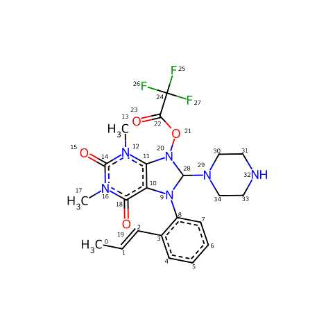 CC=Cc1ccccc1N1c2c(n(C)c(=O)n(C)c2=O)N(OC(=O)C(F)(F)F)C1N1CCNCC1